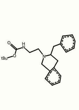 CC(C)(C)OC(=O)NCCN1Cc2ccccc2CC1Cc1ccccc1